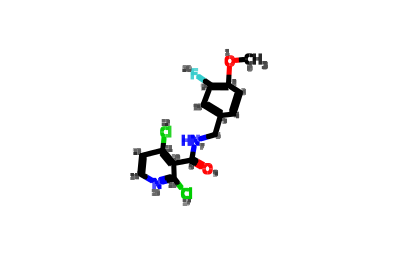 COc1ccc(CNC(=O)c2c(Cl)ccnc2Cl)cc1F